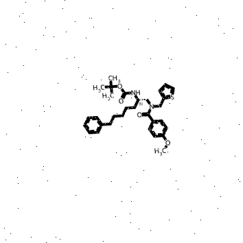 COc1ccc(C(=O)N(Cc2cccs2)C[C@H](CCC[CH]Cc2ccccc2)NC(=O)OC(C)(C)C)cc1